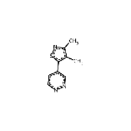 Cc1nsc(-c2ccnnc2)c1C